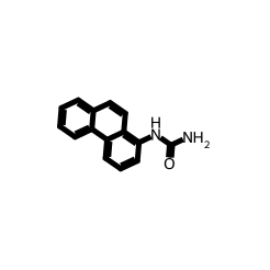 NC(=O)Nc1cccc2c1ccc1ccccc12